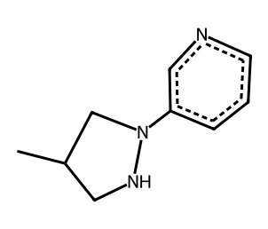 CC1CNN(c2cccnc2)C1